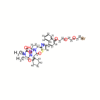 C[C@@H](C(=O)N[C@H](C(=O)N1CCC[C@H]1c1nc(-c2ccc(OCCOCCOCCBr)c3ccccc23)cs1)C1CCCCC1)N(C)C(=O)O